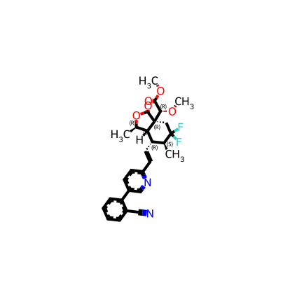 COC(=O)[C@H](OC)[C@@]12CC(F)(F)[C@@H](C)[C@H](C=Cc3ccc(-c4ccccc4C#N)cn3)[C@@H]1[C@@H](C)OC2=O